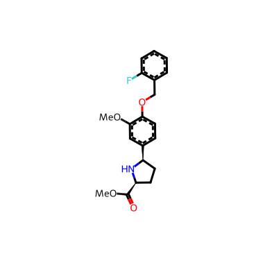 COC(=O)[C@@H]1CC[C@H](c2ccc(OCc3ccccc3F)c(OC)c2)N1